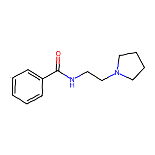 O=C(NCCN1CCCC1)c1c[c]ccc1